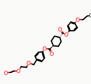 COCCOc1ccc(OC(=O)[C@H]2CC[C@H](C(=O)Oc3ccc(COCCOCCO)cc3)CC2)cc1